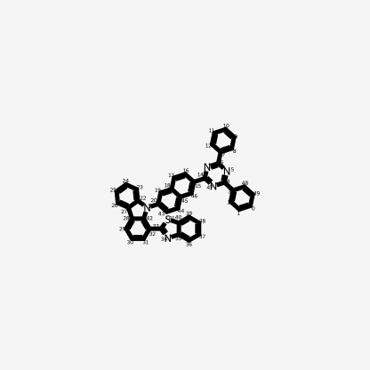 c1ccc(-c2nc(-c3ccccc3)nc(-c3ccc4cc(-n5c6ccccc6c6cccc(-c7nc8ccccc8s7)c65)ccc4c3)n2)cc1